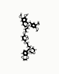 COc1ccc(C[C@@H]2c3cc(OC)c(OC)cc3CC[N@@+]2(C)CCCOC(=O)/C=C\C(=O)OCCC[N+]2(Cc3ccc4c(c3)OCCO4)CCOCC2)cc1OC